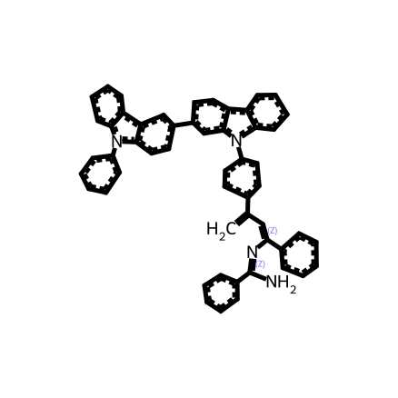 C=C(/C=C(\N=C(/N)c1ccccc1)c1ccccc1)c1ccc(-n2c3ccccc3c3ccc(-c4ccc5c(c4)c4ccccc4n5-c4ccccc4)cc32)cc1